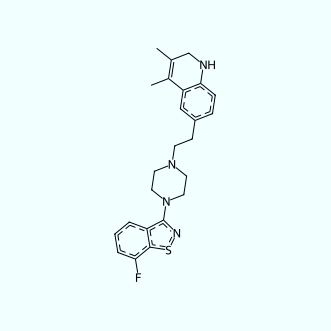 CC1=C(C)c2cc(CCN3CCN(c4nsc5c(F)cccc45)CC3)ccc2NC1